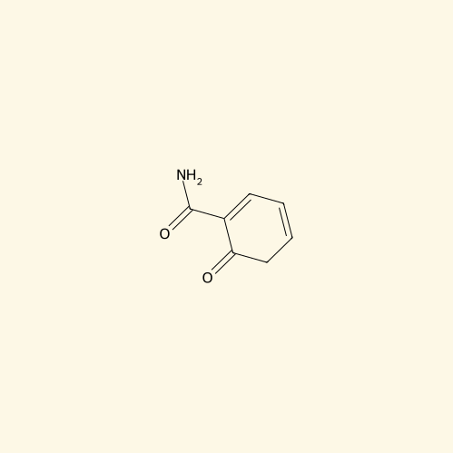 NC(=O)C1=CC=CCC1=O